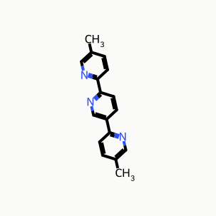 Cc1ccc(-c2ccc(-c3ccc(C)cn3)nc2)nc1